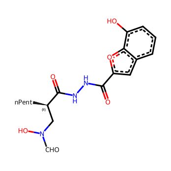 CCCCC[C@H](CN(O)C=O)C(=O)NNC(=O)c1cc2cccc(O)c2o1